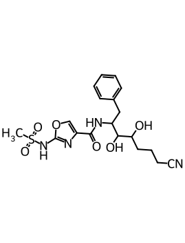 CS(=O)(=O)Nc1nc(C(=O)NC(Cc2ccccc2)C(O)C(O)CCCC#N)co1